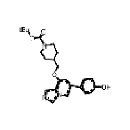 CC(C)(C)OC(=O)N1CCC(COc2cc(-c3ccc(O)cc3)cn3cncc23)CC1